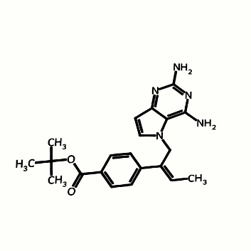 C/C=C(\Cn1ccc2nc(N)nc(N)c21)c1ccc(C(=O)OC(C)(C)C)cc1